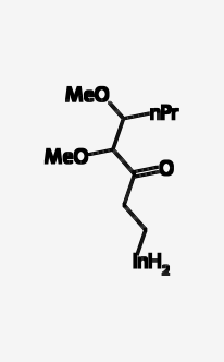 CCCC(OC)C(OC)C(=O)C[CH2][InH2]